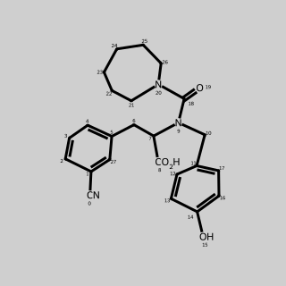 N#Cc1cccc(CC(C(=O)O)N(Cc2ccc(O)cc2)C(=O)N2CCCCCC2)c1